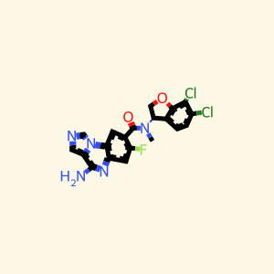 CN(C(=O)c1cc2c(cc1F)nc(N)c1cncn12)[C@@H]1COc2c1ccc(Cl)c2Cl